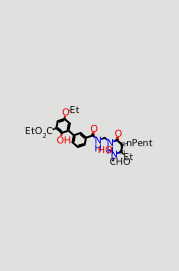 CCCCC[C@@H](C(=O)NCNC(=O)c1cccc(-c2cc(OCC)cc(C(=O)OCC)c2O)c1)[C@@H](CC)N(O)C=O